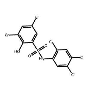 O=S(=O)(Nc1cc(Cl)c(Cl)cc1Cl)c1cc(Br)cc(Br)c1O